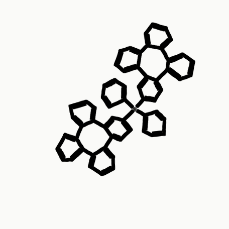 c1ccc([Si](c2ccccc2)(c2ccc3c(c2)-c2ccccc2-c2ccccc2-c2ccccc2-3)c2ccc3c(c2)-c2ccccc2-c2ccccc2-c2ccccc2-3)cc1